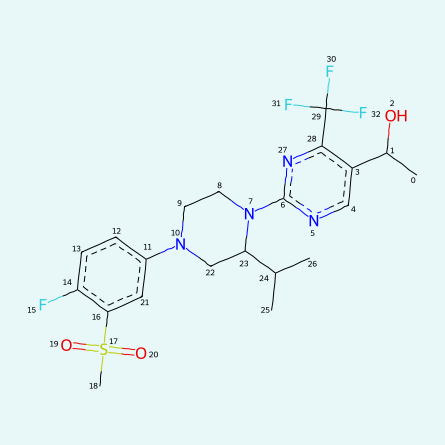 CC(O)c1cnc(N2CCN(c3ccc(F)c(S(C)(=O)=O)c3)CC2C(C)C)nc1C(F)(F)F